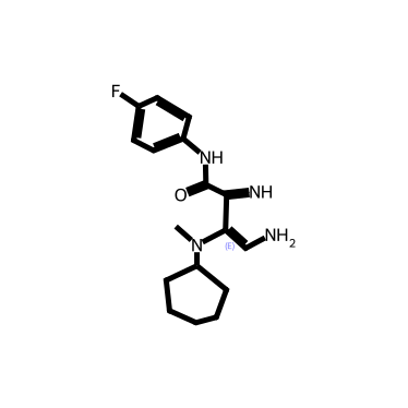 CN(/C(=C/N)C(=N)C(=O)Nc1ccc(F)cc1)C1CCCCC1